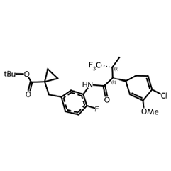 COC1=CC([C@@H](C(=O)Nc2cc(CC3(C(=O)OC(C)(C)C)CC3)ccc2F)[C@@H](C)C(F)(F)F)CC=C1Cl